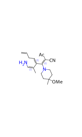 C=CC/C=C(C(\C)=C/N)/C(=C(/C#N)C(C)=O)N1CCC(C)(OC)CC1